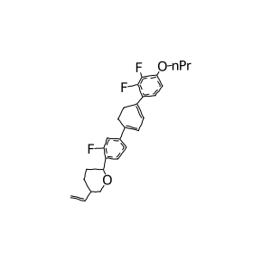 C=CC1CCC(c2ccc(C3=CC=C(c4ccc(OCCC)c(F)c4F)CC3)cc2F)OC1